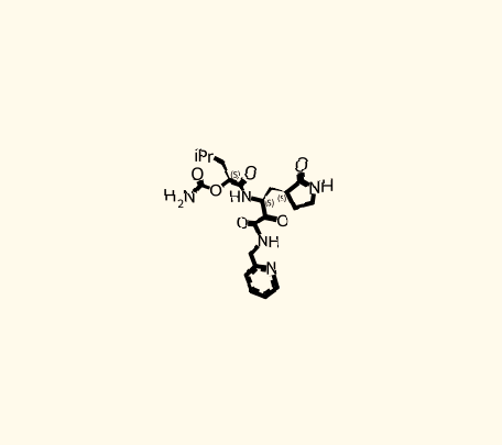 CC(C)C[C@H](OC(N)=O)C(=O)N[C@@H](C[C@@H]1CCNC1=O)C(=O)C(=O)NCc1ccccn1